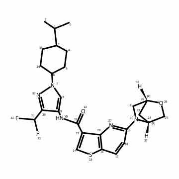 CC(C)C1CCC(n2cc(NC(=O)c3csc4ccc(N5C[C@H]6C[C@@H]5CO6)nc34)c(C(F)F)n2)CC1